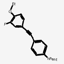 CCCCCc1ccc(C#Cc2ccc(OCC)c(F)c2)cc1